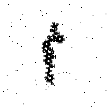 Cc1ccc(C(=O)NC(CNC(=O)OC(C)(C)C)c2ccccc2)cc1NC(=O)c1cc2cnc(NCCCN3CCN(C)CC3)nc2[nH]c1=O